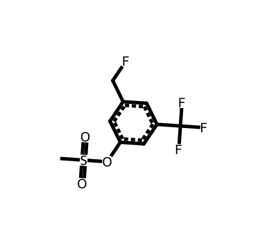 CS(=O)(=O)Oc1cc(CF)cc(C(F)(F)F)c1